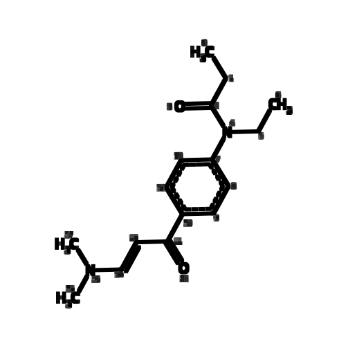 CCC(=O)N(CC)c1ccc(C(=O)C=CN(C)C)cc1